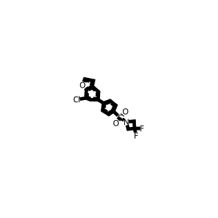 O=S(=O)(c1ccc(-c2cc(Cl)c3occc3c2)cc1)N1CC(F)(F)C1